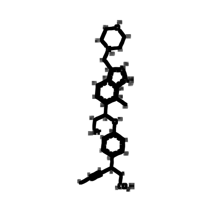 CC#CC(CC(=O)O)c1ccc(OC(CC(C)C)c2ccc3c(CN4CCOCC4)n[nH]c3c2C)cc1